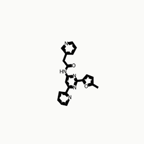 Cc1ccc(-c2nc(NC(=O)Cc3cccnc3)cc(-c3ccccn3)n2)o1